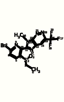 CC[S+]([O-])c1ccc(Br)nc1-c1nc2cc(C(F)(F)F)nnc2n1C